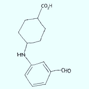 O=Cc1cccc(NC2CCC(C(=O)O)CC2)c1